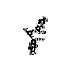 COc1cc2c(cc1OCc1cc(COc3cc4c(cc3OC)C(=O)N3Cc5ncn(C)c5C[C@H]3C=N4)cc(CN(C)C)c1)N=C[C@@H]1Cc3c(ncn3C)CN1C2=O